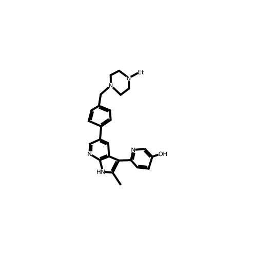 CCN1CCN(Cc2ccc(-c3cnc4[nH]c(C)c(-c5ccc(O)cn5)c4c3)cc2)CC1